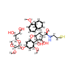 COc1ccc([C@@]23Oc4cc(O[C@@H]5O[C@@H]([C@H](O)CO)CO[C@H]5OC)cc(OC)c4[C@]2(O)[C@H](O)[C@H](C(=O)NCCS)[C@H]3c2ccccc2)cc1